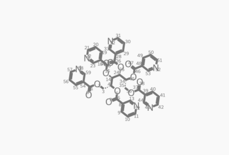 O=C(OC[C@@H](OC(=O)c1cccnc1)[C@@H](OC(=O)c1cccnc1)[C@H](OC(=O)c1cccnc1)[C@@H](COC(=O)c1cccnc1)OC(=O)c1cccnc1)c1cccnc1